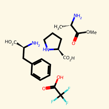 COC(=O)[C@H](C)N.N[C@@H](Cc1ccccc1)C(=O)O.O=C(O)C(F)(F)F.O=C(O)[C@@H]1CCCN1